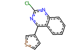 Clc1nc(-c2ccsc2)c2ccccc2n1